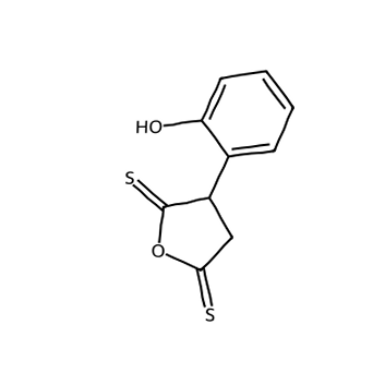 Oc1ccccc1C1CC(=S)OC1=S